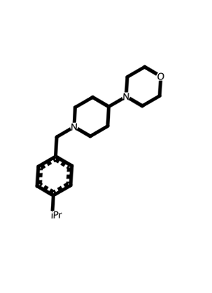 CC(C)c1ccc(CN2CCC(N3CCOCC3)CC2)cc1